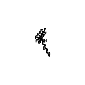 COCCOCCNS(=O)(=O)C(F)(F)C(F)(F)C(F)(F)C(F)(F)F